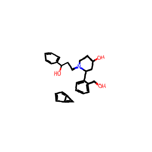 OCc1ccccc1C1CC(O)CCN1CCC(O)c1ccccc1.c1cc2cc-2c1